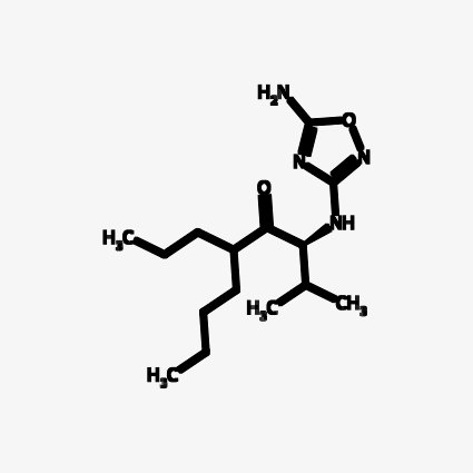 CCCCC(CCC)C(=O)[C@@H](Nc1noc(N)n1)C(C)C